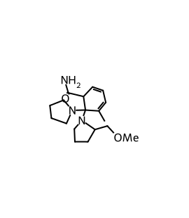 COCC1CCCN1C1(N2CCCC2)C(C)=CC=CC1C(N)=O